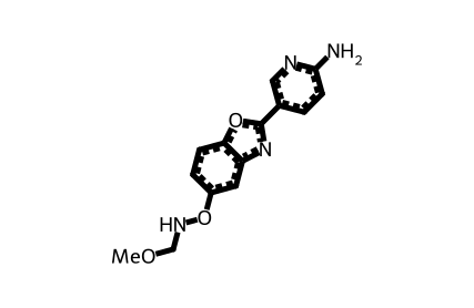 COCNOc1ccc2oc(-c3ccc(N)nc3)nc2c1